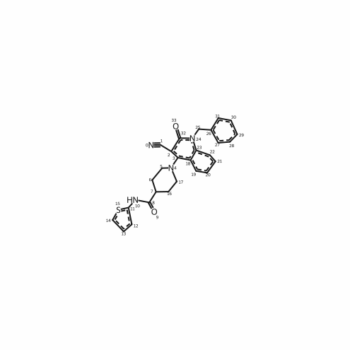 N#Cc1c(N2CCC(C(=O)Nc3cccs3)CC2)c2ccccc2n(Cc2ccccc2)c1=O